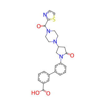 O=C(O)c1cccc(-c2cccc(N3CC(N4CCN(C(=O)c5nccs5)CC4)CC3=O)c2)c1